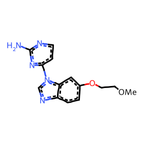 COCCOc1ccc2ncn(-c3ccnc(N)n3)c2c1